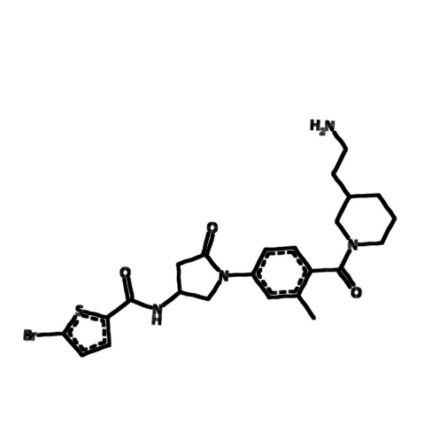 Cc1cc(N2CC(NC(=O)c3ccc(Br)s3)CC2=O)ccc1C(=O)N1CCCC(CCN)C1